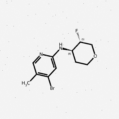 Cc1cnc(N[C@@H]2CCOC[C@H]2F)cc1Br